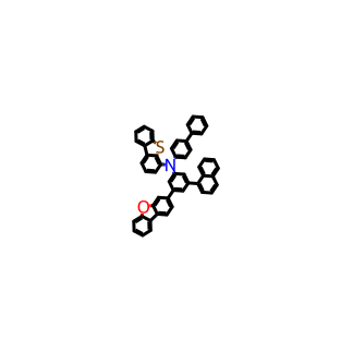 c1ccc(-c2ccc(N(c3cc(-c4ccc5c(c4)oc4ccccc45)cc(-c4cccc5ccccc45)c3)c3cccc4c3sc3ccccc34)cc2)cc1